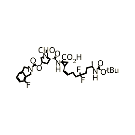 C[C@H](CCC(F)(F)CC/C=C\[C@@H]1C[C@]1(NC(=O)[C@@H]1C[C@@H](OC(=O)N2Cc3cccc(F)c3C2)CN1C=O)C(=O)O)NC(=O)OC(C)(C)C